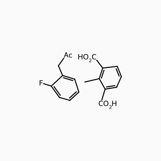 CC(=O)Cc1ccccc1F.Cc1c(C(=O)O)cccc1C(=O)O